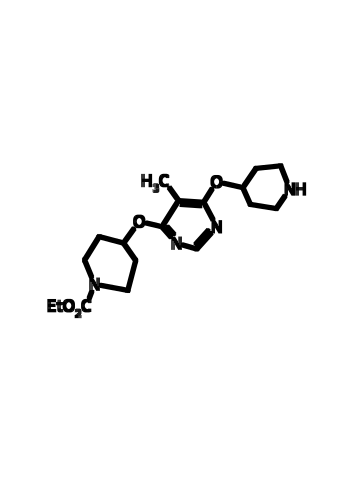 CCOC(=O)N1CCC(Oc2ncnc(OC3CCNCC3)c2C)CC1